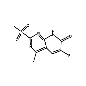 Cc1nc(S(C)(=O)=O)nc2[nH]c(=O)c(F)cc12